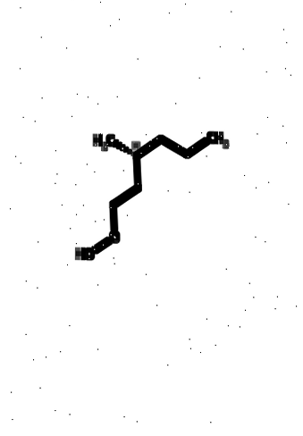 CCC[C@@H](C)CCOO